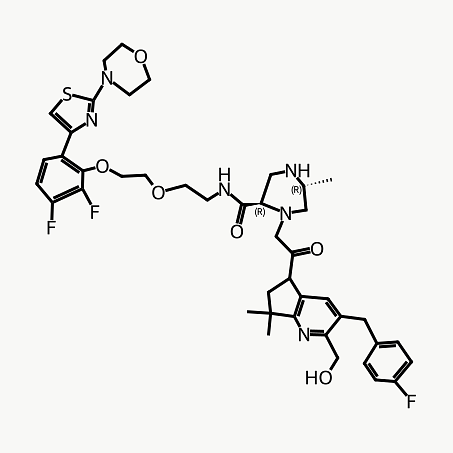 C[C@@H]1CN(CC(=O)C2CC(C)(C)c3nc(CO)c(Cc4ccc(F)cc4)cc32)[C@@H](C(=O)NCCOCCOc2c(-c3csc(N4CCOCC4)n3)ccc(F)c2F)CN1